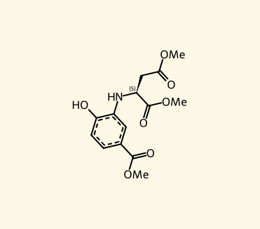 COC(=O)C[C@H](Nc1cc(C(=O)OC)ccc1O)C(=O)OC